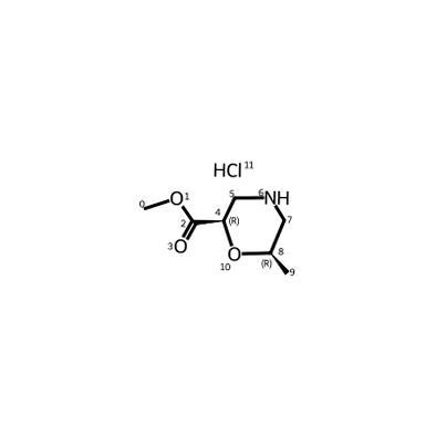 COC(=O)[C@H]1CNC[C@@H](C)O1.Cl